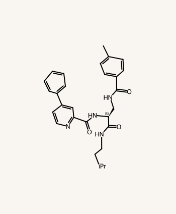 Cc1ccc(C(=O)NC[C@H](NC(=O)c2cc(-c3ccccc3)ccn2)C(=O)NCCC(C)C)cc1